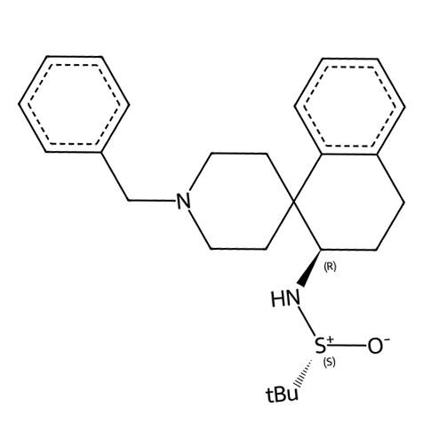 CC(C)(C)[S@@+]([O-])N[C@@H]1CCc2ccccc2C12CCN(Cc1ccccc1)CC2